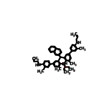 C=CCNc1ccc(-c2cc(C)c(NCC=C)c(C(c3ccc4ccccc4c3)c3cc(-c4ccc(NCC=C)c(C)c4)cc(C)c3OCC=C)c2)cc1C